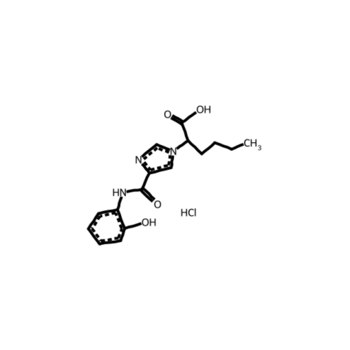 CCCCC(C(=O)O)n1cnc(C(=O)Nc2ccccc2O)c1.Cl